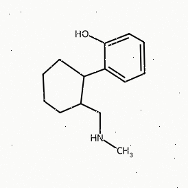 CNCC1CCCCC1c1ccccc1O